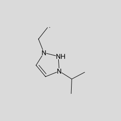 [CH2]CN1C=CN(C(C)C)N1